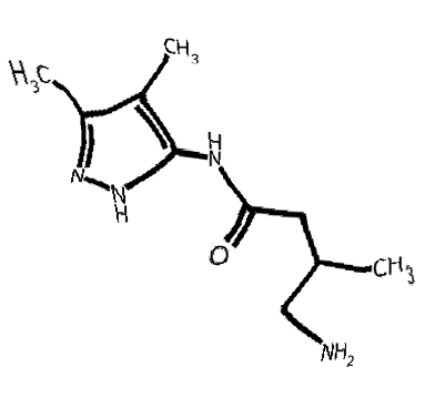 Cc1n[nH]c(NC(=O)CC(C)CN)c1C